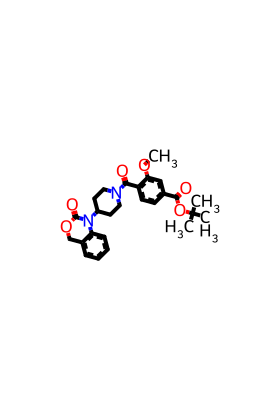 COc1cc(C(=O)OC(C)(C)C)ccc1C(=O)N1CCC(N2C(=O)OCc3ccccc32)CC1